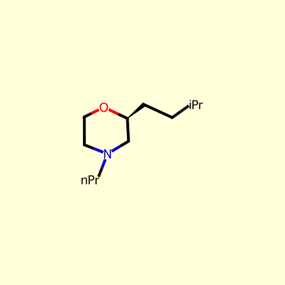 CCCN1CCO[C@@H](CCC(C)C)C1